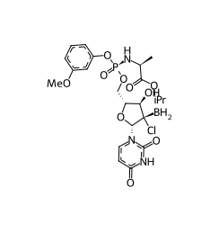 B[C@]1(Cl)[C@H](O)[C@@H](CO[P@@](=O)(N[C@@H](C)C(=O)OC(C)C)Oc2cccc(OC)c2)O[C@H]1n1ccc(=O)[nH]c1=O